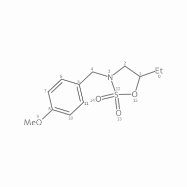 CCC1CN(Cc2ccc(OC)cc2)S(=O)(=O)O1